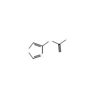 CCC(=O)Oc1cocn1